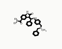 CCN(CC)C(=O)c1ccc2c(c1)/C(=C(/Nc1ccc(CN(C)Cc3ccccc3)cc1)c1ccccc1)C(=O)N2